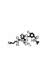 COC(=O)c1c(OCc2cc(C(=O)NC3CC3)ccc2F)nsc1NC(=O)NCCC#N